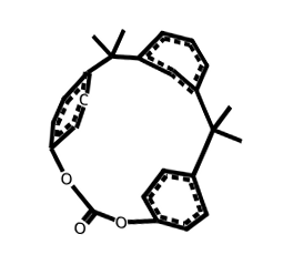 CC1(C)c2ccc(cc2)OC(=O)Oc2ccc(cc2)C(C)(C)c2cccc1c2